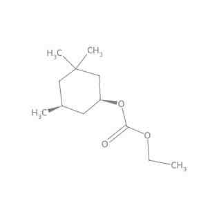 CCOC(=O)O[C@H]1C[C@@H](C)CC(C)(C)C1